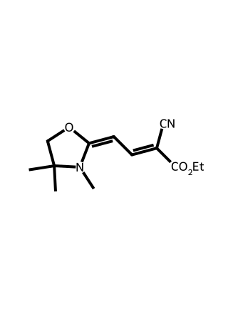 CCOC(=O)C(C#N)=CC=C1OCC(C)(C)N1C